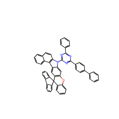 c1ccc(-c2ccc(-c3nc(-c4ccccc4)nc(-n4c5cc6c(cc5c5c7ccccc7ccc54)C4(c5ccccc5O6)c5ccccc5-c5ccccc54)n3)cc2)cc1